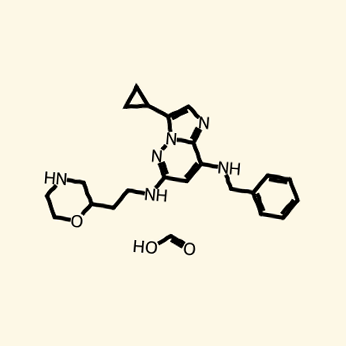 O=CO.c1ccc(CNc2cc(NCCC3CNCCO3)nn3c(C4CC4)cnc23)cc1